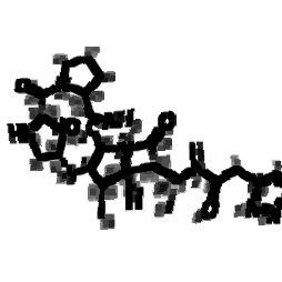 C[C@@H](NC(=O)Cn1cnnn1)[C@H]1C(=O)N2C(C(=O)O)=C(S[C@@H]3CN[C@H](C(=O)N4CCC[C@H]4CN)C3)[C@H](C)[C@H]12